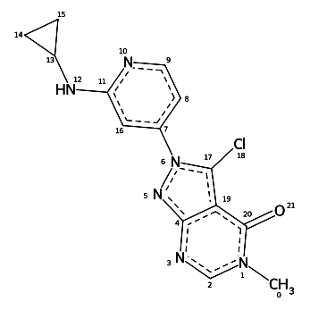 Cn1cnc2nn(-c3ccnc(NC4CC4)c3)c(Cl)c2c1=O